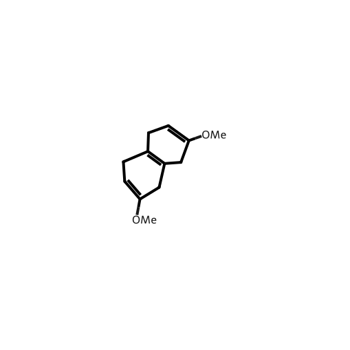 COC1=CCC2=C(C1)CC(OC)=CC2